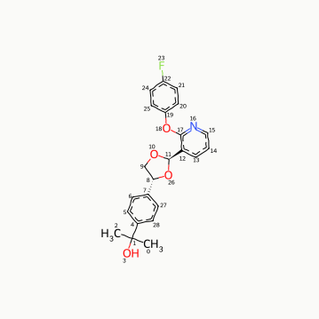 CC(C)(O)c1ccc([C@@H]2CO[C@@H](c3cccnc3Oc3ccc(F)cc3)O2)cc1